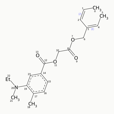 C/C=C\C(=C/C)COC(=O)COC(=O)c1ccc(C)c(N(C)CC)c1